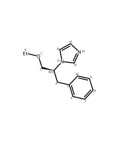 CCOC[C@H](Cc1ccccc1)n1ccnc1